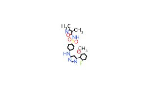 COc1cccc(F)c1-c1cc(Nc2ccc(S(=O)(=O)Nc3onc(C)c3C)cc2)ncn1